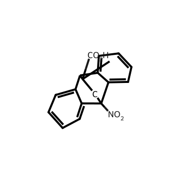 CC1(C(=O)O)CC2([N+](=O)[O-])c3ccccc3C1c1ccccc12